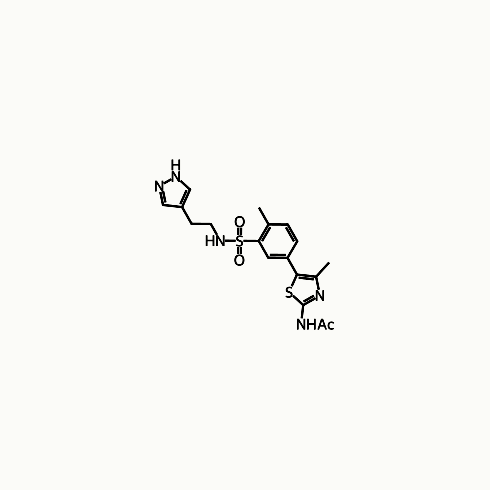 CC(=O)Nc1nc(C)c(-c2ccc(C)c(S(=O)(=O)NCCc3cn[nH]c3)c2)s1